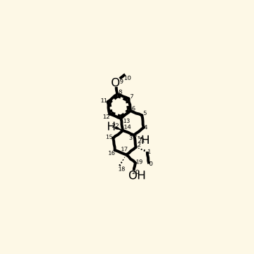 CC[C@H]1[C@@H]2CCc3cc(OC)ccc3[C@H]2CC[C@]1(C)CO